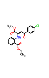 CCOC(=O)c1ccccc1N/C(=C\C(=O)c1ccc(Cl)cc1)C(=O)OC